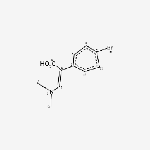 CN(C)C=C(C(=O)O)c1ccc(Br)cc1